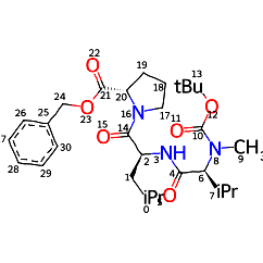 CC(C)C[C@H](NC(=O)[C@H](C(C)C)N(C)C(=O)OC(C)(C)C)C(=O)N1CCC[C@H]1C(=O)OCc1ccccc1